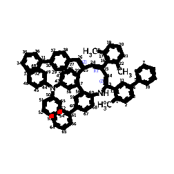 Cc1ccc(-c2ccccc2)cc1/C1=C/C(c2c(C)cccc2C)=C\C(=C\c2ccc(-c3ccccc3)cc2)c2ccc(N(c3ccccc3)c3ccccc3)cc2-c2cc(-c3ccccc3)ccc2N1